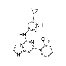 Cc1ccccc1-c1cc2nccn2c(Nc2cc(C3CC3)[nH]n2)n1